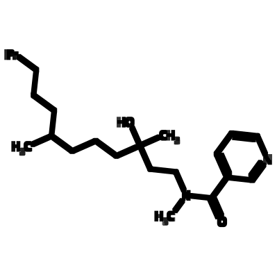 CC(C)CCCC(C)CCCC(C)(O)CCN(C)C(=O)c1cccnc1